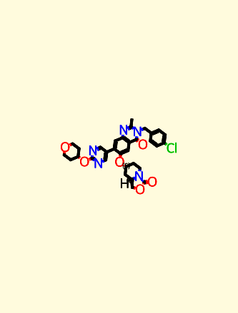 Cc1nc2cc(-c3cnc(OC4CCOCC4)nc3)c(O[C@H]3CCN4C(=O)OC[C@@H]4C3)cc2c(=O)n1Cc1ccc(Cl)cc1